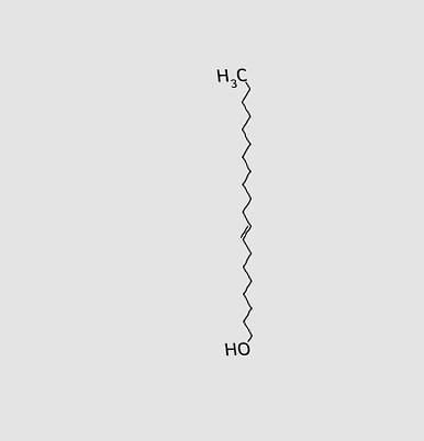 CCCCCCCCCCC/C=C/CCCCCCCO